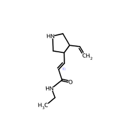 C=CC1CNCC1/C=C/C(=O)NCC